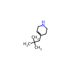 CC(C)(C)CC1=CCNCC1